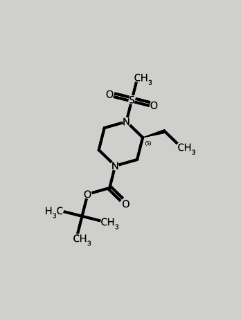 CC[C@H]1CN(C(=O)OC(C)(C)C)CCN1S(C)(=O)=O